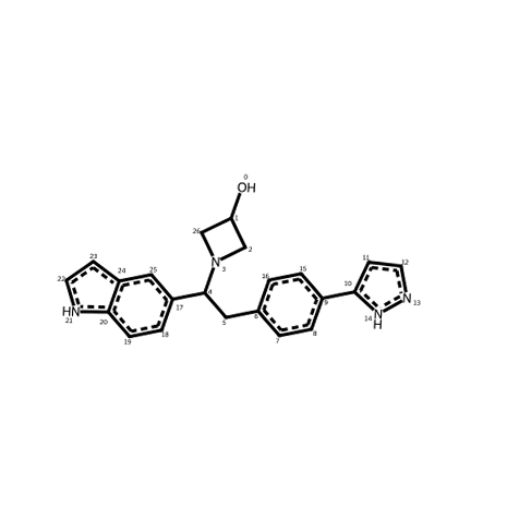 OC1CN(C(Cc2ccc(-c3ccn[nH]3)cc2)c2ccc3[nH]ccc3c2)C1